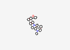 c1ccc(-c2ccc(-c3ccccc3N(c3ccc(-c4cccc5oc6ccccc6c45)cc3)c3ccc4c(c3)C3(c5ccccc5-4)c4ccccc4N(c4ccccc4)c4ccccc43)cc2)cc1